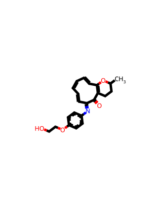 CC1CCC2=C(/C=C/C=C\C=C\C(=N/c3ccc(OCCO)cc3)C2=O)O1